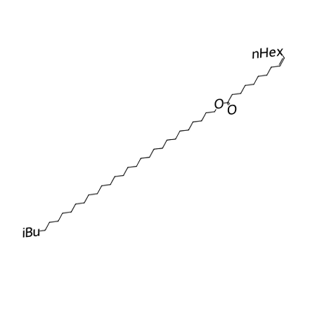 CCCCCC/C=C\CCCCCCCC(=O)OCCCCCCCCCCCCCCCCCCCCCCCCCCCC(C)CC